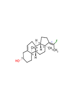 C/C(F)=C1/CC[C@H]2[C@@H]3CC=C4C[C@@H](O)CC[C@]4(C)[C@H]3CC[C@]12C